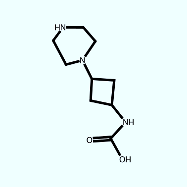 O=C(O)NC1CC(N2CCNCC2)C1